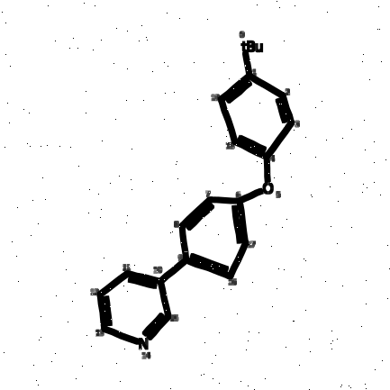 CC(C)(C)c1ccc(Oc2ccc(-c3cccnc3)cc2)cc1